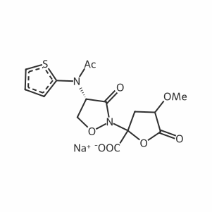 COC1CC(C(=O)[O-])(N2OC[C@H](N(C(C)=O)c3cccs3)C2=O)OC1=O.[Na+]